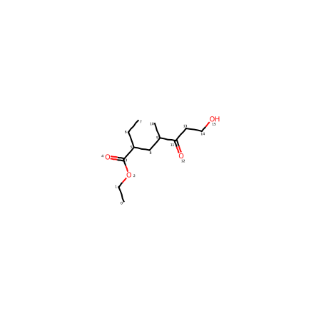 CCOC(=O)C(CC)CC(C)C(=O)CCO